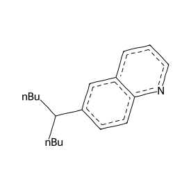 CCCCC(CCCC)c1ccc2ncccc2c1